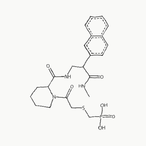 CNC(=O)C(CNC(=O)C1CCCCN1C(=O)CSCP(=O)(O)O)c1ccc2ccccc2c1